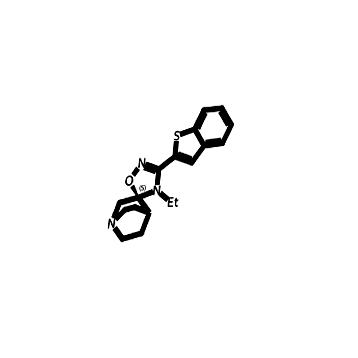 CCN1C(c2cc3ccccc3s2)=NO[C@@]12CN1CCC2CC1